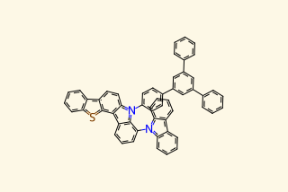 c1ccc(-c2cc(-c3ccccc3)cc(-c3ccc(-n4c5ccc6c7ccccc7sc6c5c5cccc(-n6c7ccccc7c7ccccc76)c54)cc3)c2)cc1